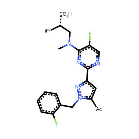 CC(=O)c1cc(-c2ncc(F)c(N(C)C[C@@H](C(=O)O)C(C)C)n2)nn1Cc1ccccc1F